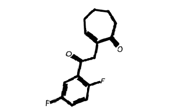 O=C1CCCCC=C1CC(=O)c1cc(F)ccc1F